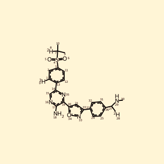 [2H]c1cc(S(=O)(=O)C([2H])(C)C)ccc1-c1cnc(N)c(-c2cc(-c3ccc(C([2H])NC)cc3)no2)n1